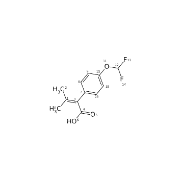 CC(C)=C(C(=O)O)c1ccc(OC(F)F)cc1